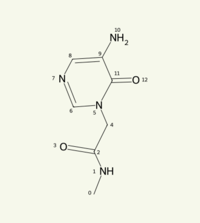 CNC(=O)Cn1cncc(N)c1=O